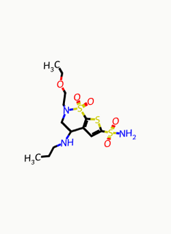 CCCNC1CN(CCOCC)S(=O)(=O)c2sc(S(N)(=O)=O)cc21